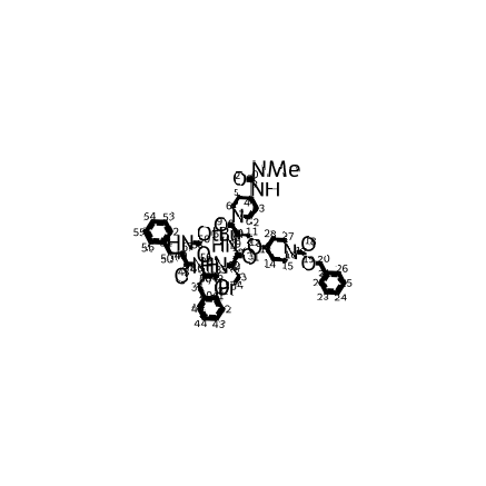 CNC(=O)NC1CCN(C(=O)[C@@H](COC2CCN(C(=O)OCc3ccccc3)CC2)NC(=O)[C@@H](CC(C)C)NC(=O)[C@@H](Cc2ccccc2)NC(=O)[C@@H](Cc2ccccc2)NC(=O)OC(C)(C)C)CC1